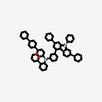 c1ccc(-c2ccc(-c3ccc(N(c4cccc(-c5cc(-c6ccccc6)cc6c5c5ccc(-c7ccccc7)cc5n6-c5ccccc5)c4)c4ccccc4-c4ccccc4)cc3)cc2)cc1